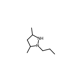 CCCN1NC(C)CC1C